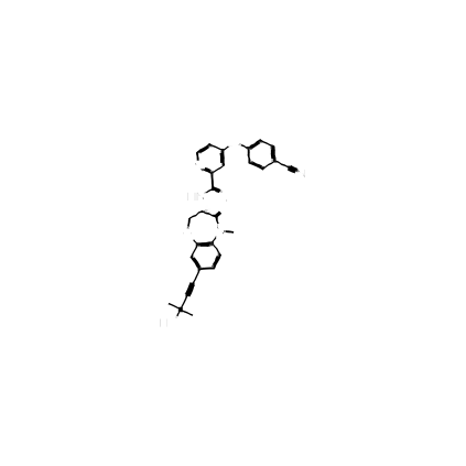 CN1C(=O)[C@@H](NC(=O)c2cc(Oc3ccc(C#N)cc3)ccn2)COc2cc(C#CC(C)(C)O)ccc21